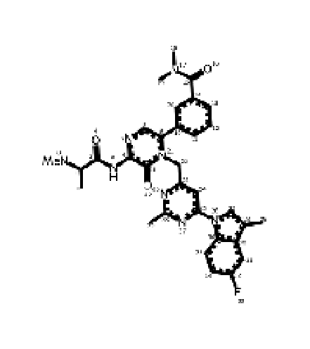 CNC(C)C(=O)Nc1ncc(-c2cccc(C(=O)N(C)C)c2)n(Cc2cc(-n3cc(C)c4cc(F)ccc43)nc(C)n2)c1=O